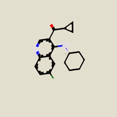 O=C(c1cnc2ccc(Br)cc2c1N[C@@H]1C[CH]CCC1)C1CC1